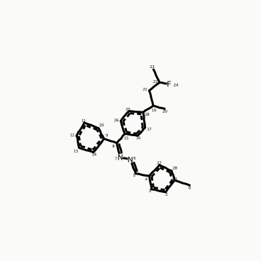 Cc1ccc(C=NN=C(c2ccccc2)c2ccc(C(C)CC(C)F)cc2)cc1